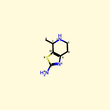 CC1NCCc2nc(N)sc21